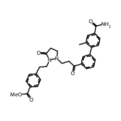 COC(=O)c1ccc(CCN2C(=O)CCN2CCC(=O)c2cccc(-c3ccc(C(N)=O)cc3C)c2)cc1